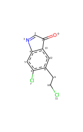 O=C1C=Nc2cc(Cl)c(CCCl)cc21